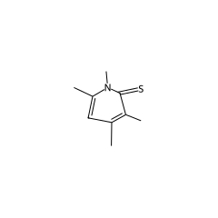 Cc1cc(C)n(C)c(=S)c1C